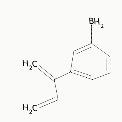 Bc1cccc(C(=C)C=C)c1